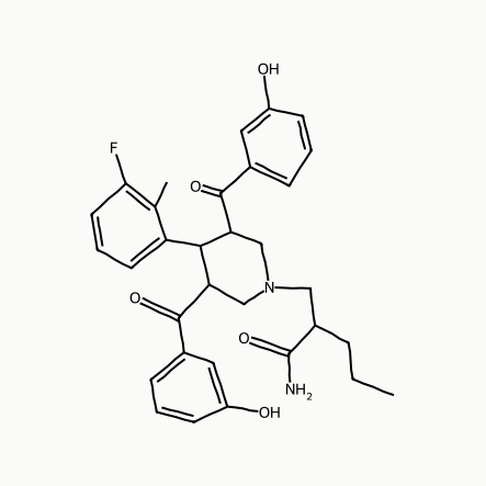 CCCC(CN1CC(C(=O)c2cccc(O)c2)C(c2cccc(F)c2C)C(C(=O)c2cccc(O)c2)C1)C(N)=O